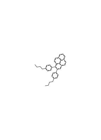 CCCCc1ccc(-c2cc3ccc4cccc5ccc(c2-c2ccc(CCCC)cc2)c3c45)cc1